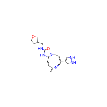 C=C1/C=C\C(NC(=O)NCC2CCOC2)=N/C/C=C(C2=CNNC2)\C=N/1